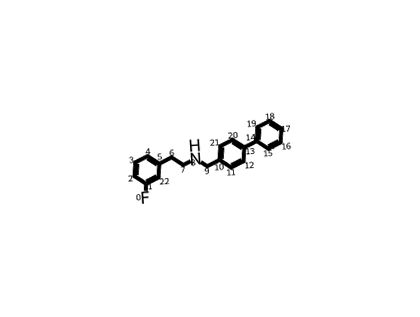 Fc1cccc(CCNCc2ccc(-c3[c]cccc3)cc2)c1